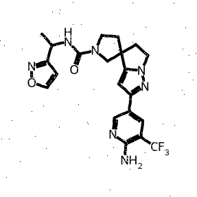 CC(NC(=O)N1CCC2(CCn3nc(-c4cnc(N)c(C(F)(F)F)c4)cc32)C1)c1ccon1